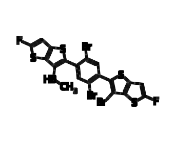 CBc1c(-c2cc(Br)c(-c3sc4cc(F)sc4c3Br)cc2Br)sc2cc(F)sc12